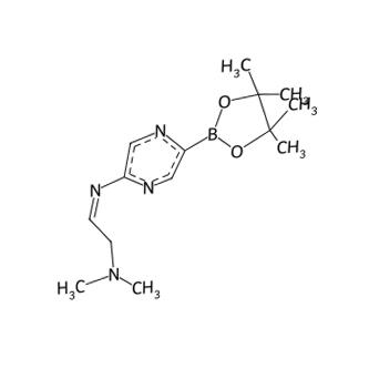 CN(C)C/C=N\c1cnc(B2OC(C)(C)C(C)(C)O2)cn1